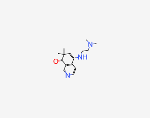 CN(C)CCNC1=CC(C)(C)C(=O)c2cnccc21